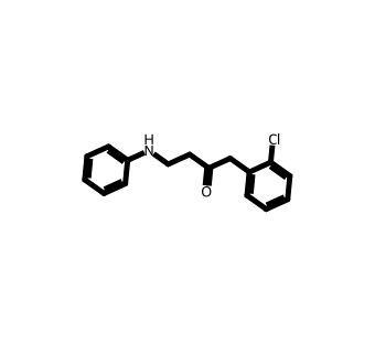 O=C(CCNc1ccccc1)Cc1ccccc1Cl